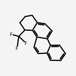 FC(F)(F)C1CCCc2ccc3c(ccc4ccccc43)c21